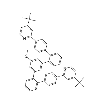 CSc1cc(-c2ccccc2-c2ccc(-c3cc(C(C)(C)C)ccn3)cc2)cc(-c2ccccc2-c2ccc(-c3cc(C(C)(C)C)ccn3)cc2)c1